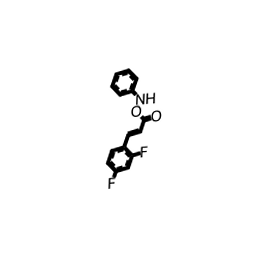 O=C(C=Cc1ccc(F)cc1F)ONc1ccccc1